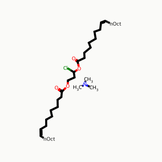 CCCCCCCC/C=C\CCCCCCCC(=O)OCCC(Cl)OC(=O)CCCCCCC/C=C\CCCCCCCC.CN(C)C